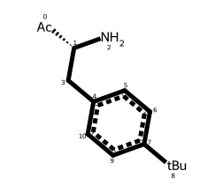 CC(=O)[C@H](N)Cc1ccc(C(C)(C)C)cc1